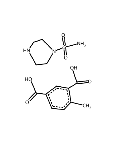 Cc1ccc(C(=O)O)cc1C(=O)O.NS(=O)(=O)N1CCNCC1